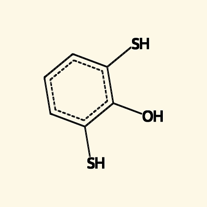 Oc1c(S)cccc1S